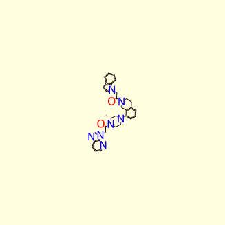 C[C@@H]1CN(c2cccc3c2CN(C(=O)Cn2ccc4ccccc42)CC3)CCN1C(=O)Cn1cnc2cccnc21